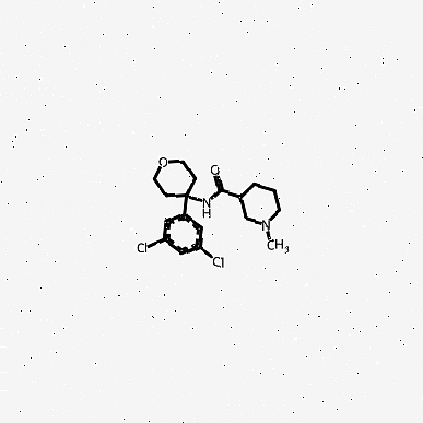 CN1CCCC(C(=O)NC2(c3cc(Cl)cc(Cl)c3)CCOCC2)C1